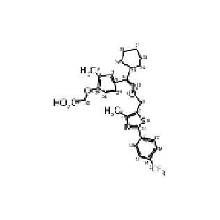 Cc1cc(/C(=N\OCc2sc(-c3ccc(C(F)(F)F)cc3)nc2C)C2CCCCC2)ccc1OCC(=O)O